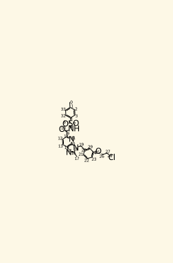 Cc1ccc(S(=O)(=O)NC(=O)c2ccc3nc(C)n(Cc4cccc(OCCCl)c4)c3n2)cc1